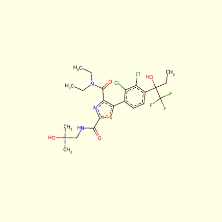 CCN(CC)C(=O)c1nc(C(=O)NCC(C)(C)O)sc1-c1ccc(C(O)(CC)C(F)(F)F)c(Cl)c1Cl